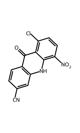 N#Cc1ccc2c(=O)c3c(Cl)ccc([N+](=O)[O-])c3[nH]c2c1